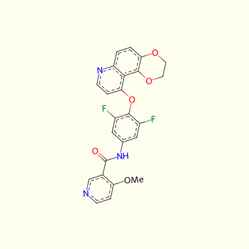 COc1ccncc1C(=O)Nc1cc(F)c(Oc2ccnc3ccc4c(c23)OCCO4)c(F)c1